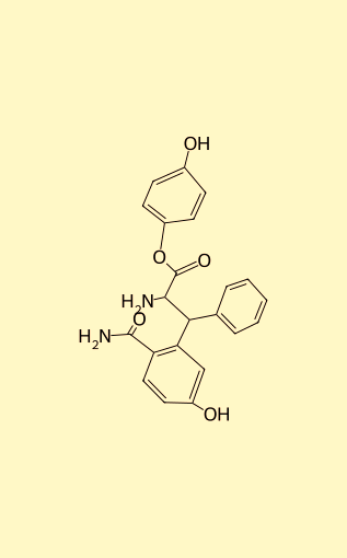 NC(=O)c1ccc(O)cc1C(c1ccccc1)C(N)C(=O)Oc1ccc(O)cc1